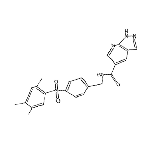 Cc1cc(C)c(S(=O)(=O)c2ccc(CNC(=O)c3cnc4[nH]ncc4c3)cc2)cc1C